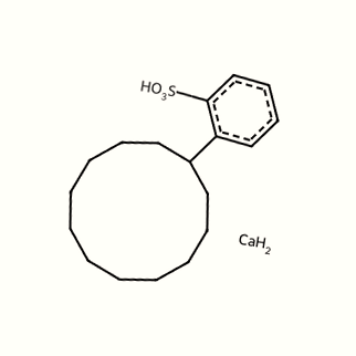 O=S(=O)(O)c1ccccc1C1CCCCCCCCCCC1.[CaH2]